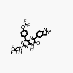 Cn1cc2cc(-c3nc4c(-c5ccc(OC(F)F)cc5)nc(NCC(F)(F)F)nc4[nH]c3=O)ccc2n1